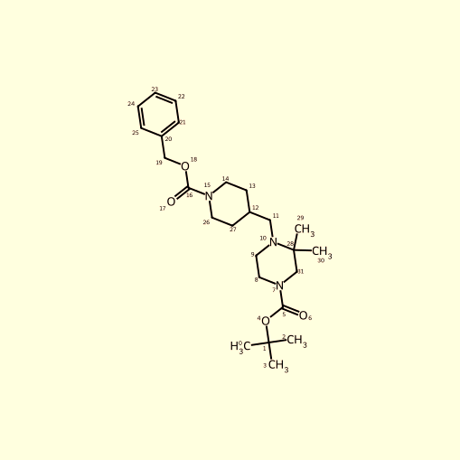 CC(C)(C)OC(=O)N1CCN(CC2CCN(C(=O)OCc3ccccc3)CC2)C(C)(C)C1